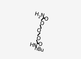 CCCCNC(=O)COCCOCCOCC(N)=O